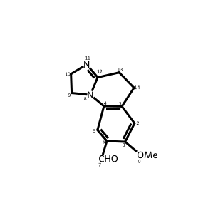 COc1cc2c(cc1C=O)N1CCN=C1CC2